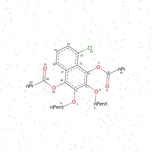 CCCCCOc1c(OCCCCC)c(OC(=O)CCC)c2c(Cl)cccc2c1OC(=O)CCC